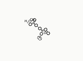 CC1(C)c2ccccc2N(c2ccc(-c3ccc(N(c4ccc(C56CC7CC(CC(C7)C5)C6)cc4)c4cccc5c4oc4ccccc45)cc3)cc2)c2ccccc21